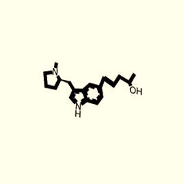 CC(O)CC=Cc1ccc2[nH]cc(C[C@H]3CCCN3C)c2c1